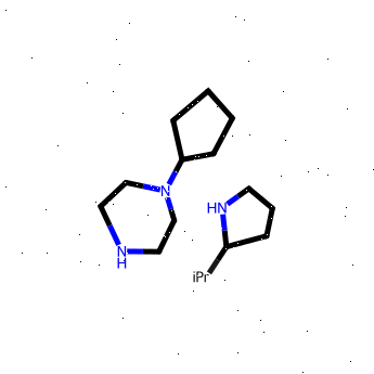 C1CCC(N2CCNCC2)C1.CC(C)C1CCCN1